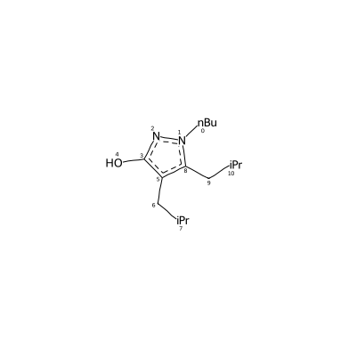 CCCCn1nc(O)c(CC(C)C)c1CC(C)C